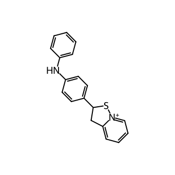 c1ccc(Nc2ccc(C3Cc4cccc[n+]4S3)cc2)cc1